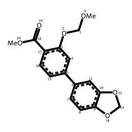 COCOc1cc(-c2ccc3c(c2)OCO3)ccc1C(=O)OC